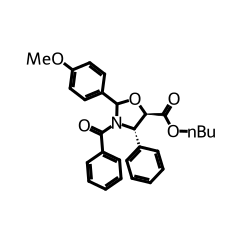 CCCCOC(=O)[C@@H]1OC(c2ccc(OC)cc2)N(C(=O)c2ccccc2)[C@H]1c1ccccc1